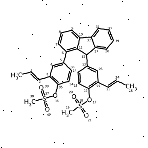 CC=Cc1cc(-c2cccc3c2C(c2ccc(OS(C)(=O)=O)c(C=CC)c2)c2ccccc2-3)ccc1OS(C)(=O)=O